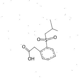 CC(C)CS(=O)(=O)c1ccccc1CC(=O)O